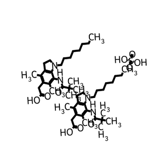 CCCCCCCCN1CCc2c(C)c(CC(=O)O)c(C)c(NC(=O)C(C)(C)C)c21.CCCCCCCCN1CCc2c(C)c(CC(=O)O)c(C)c(NC(=O)C(C)(C)C)c21.O=S(=O)(O)O